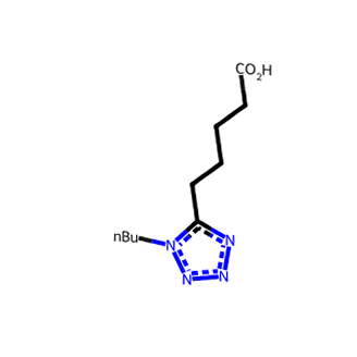 CCCCn1nnnc1CCCCC(=O)O